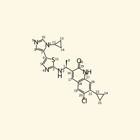 C[C@H](Nc1ncc(-c2cncn2C2CC2)s1)c1cc2cc(Cl)c(C3CC3)cc2[nH]c1=O